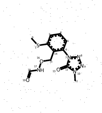 CSc1cccc(-n2nnn(C)c2=O)c1CONC=O